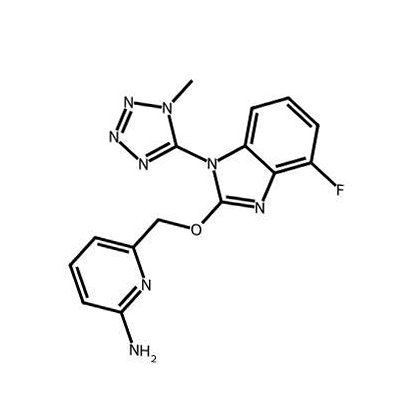 Cn1nnnc1-n1c(OCc2cccc(N)n2)nc2c(F)cccc21